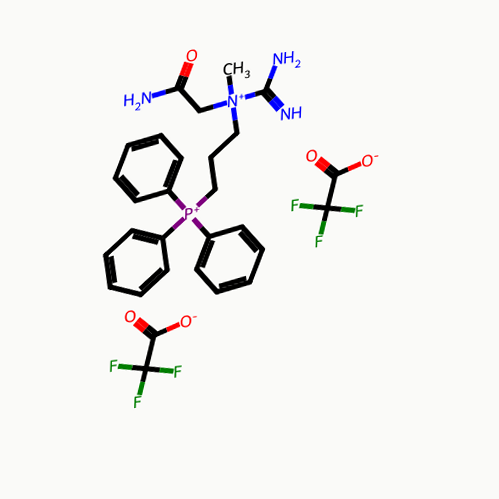 C[N+](CCC[P+](c1ccccc1)(c1ccccc1)c1ccccc1)(CC(N)=O)C(=N)N.O=C([O-])C(F)(F)F.O=C([O-])C(F)(F)F